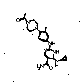 CC(=O)N1CCN(c2ccc(NC3=NC=C(C(N)=O)C(NC4CC4)N3)cc2C)CC1